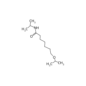 CC(C)NC(=O)CCCCCCOC(C)C